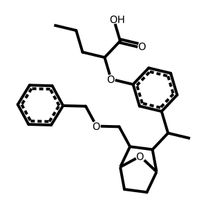 CCCC(Oc1cccc(C(C)C2C3CCC(O3)C2COCc2ccccc2)c1)C(=O)O